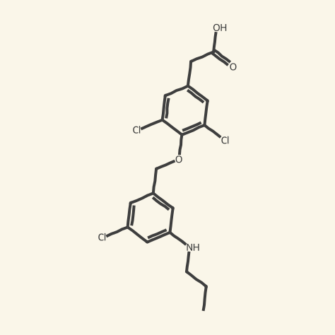 CCCNc1cc(Cl)cc(COc2c(Cl)cc(CC(=O)O)cc2Cl)c1